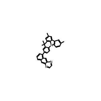 Cc1ccc2c(c1)c1cc(C)cc3c1n2-c1ccc(-c2cccc4cc5nccnc5cc24)cc1C3(C)C